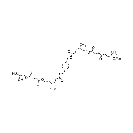 COC(C)CCC(=O)/C=C/C(=O)OCCC(C)CCC(=O)OCC1CCC(COC(=O)CCC(C)CCOC(=O)/C=C/C(=O)OCC(C)O)CC1